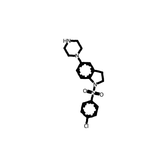 O=S(=O)(c1ccc(Cl)cc1)N1CCc2cc(N3CCNCC3)ccc21